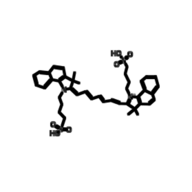 CC1(C)C(/C=C/C=C/C=C/C=C2/N(CCCCS(=O)(=O)O)c3c(ccc4ccccc34)C2(C)C)=[N+](CCCCS(=O)(=O)O)c2c1ccc1ccccc21